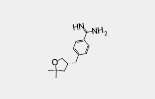 CC1(C)C[C@@H](Cc2ccc(C(=N)N)cc2)CO1